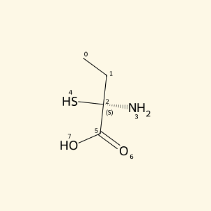 CC[C@](N)(S)C(=O)O